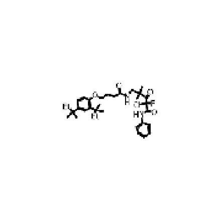 CCC(C)(C)c1ccc(OCCCC(=O)NCC(C)(C)C(=O)C(F)(Cl)C(=O)Nc2ccccc2)c(C(C)(C)CC)c1